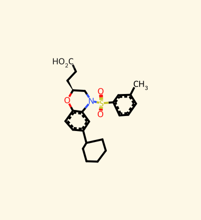 Cc1cccc(S(=O)(=O)N2C[C@H](CCC(=O)O)Oc3ccc(C4CCCCC4)cc32)c1